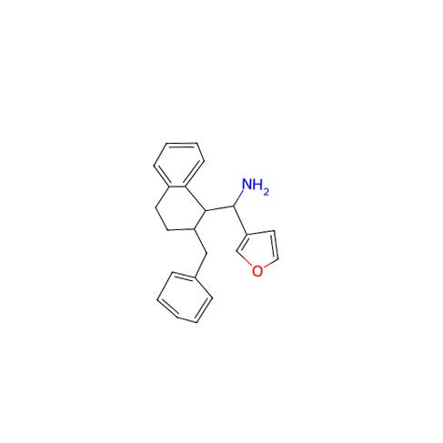 NC(c1ccoc1)C1c2ccccc2CCC1Cc1ccccc1